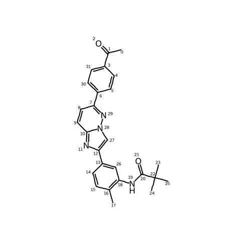 CC(=O)c1ccc(-c2ccc3nc(-c4ccc(C)c(NC(=O)C(C)(C)C)c4)cn3n2)cc1